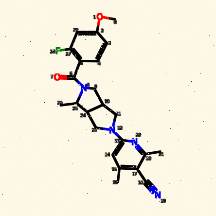 COc1ccc(C(=O)N2CC3CN(c4cc(C)c(C#N)c(C)n4)CC3C2C)c(F)c1